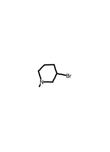 CN1CCCC(Br)C1